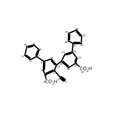 C#Cc1c(C(=O)O)cc(-c2ccccc2)cc1-c1cc(C(=O)O)cc(-c2ccccc2)c1